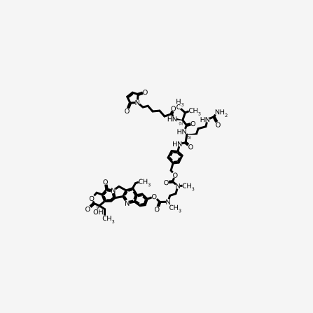 CCc1c2c(nc3ccc(OC(=O)N(C)CCN(C)C(=O)OCc4ccc(NC(=O)[C@H](CCCNC(N)=O)NC(=O)[C@@H](NC(=O)CCCCCN5C(=O)C=CC5=O)C(C)C)cc4)cc13)-c1cc3c(c(=O)n1C2)COC(=O)[C@]3(O)CC